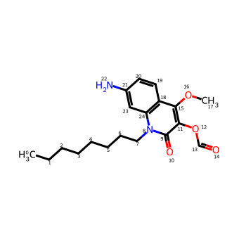 CCCCCCCCn1c(=O)c(OC=O)c(OC)c2ccc(N)cc21